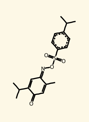 CC1=CC(=O)C(C(C)C)=C/C1=N/OS(=O)(=O)c1ccc(C(C)C)cc1